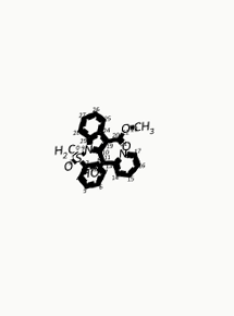 C=S(=O)(c1ccccc1)n1c(C(O)c2ccccn2)c(C(=O)OC)c2ccccc21